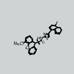 COc1cccc2c1Oc1ccccc1C2C(C)(C)C(=O)Nc1nc(-c2ccc(F)c3ccccc23)cs1